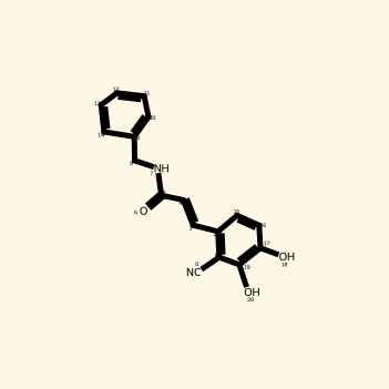 N#Cc1c(C=CC(=O)NCc2ccccc2)ccc(O)c1O